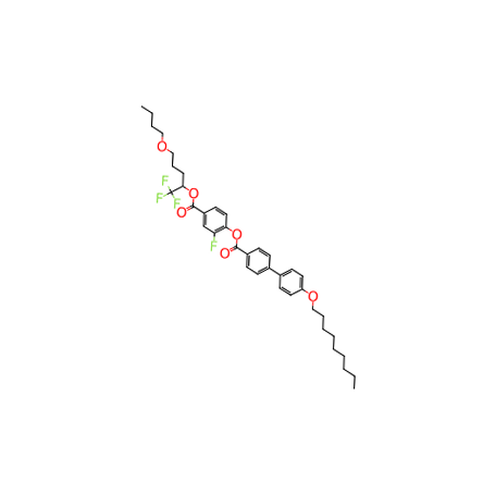 CCCCCCCCCOc1ccc(-c2ccc(C(=O)Oc3ccc(C(=O)OC(CCCOCCCC)C(F)(F)F)cc3F)cc2)cc1